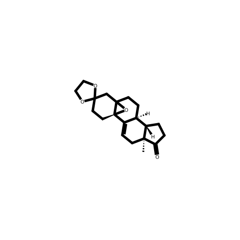 C[C@]12CC=C3[C@@H](CCC45CC6(CC[C@@]34O5)OCCO6)[C@@H]1CCC2=O